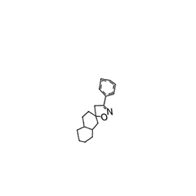 c1ccc(C2=NOC3(CCC4CCCCC4C3)C2)cc1